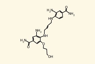 NC(=O)c1ccc(NCC=CCNc2c(N)cc(C(N)=O)cc2OCCCO)c(N)c1